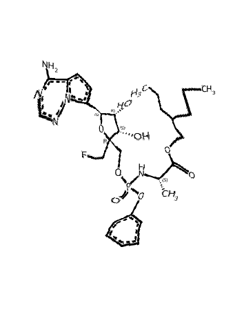 CCCC(CCC)COC(=O)[C@H](C)NP(=O)(OC[C@@]1(CF)O[C@@H](c2ccc3c(N)ncnn23)[C@H](O)[C@@H]1O)Oc1ccccc1